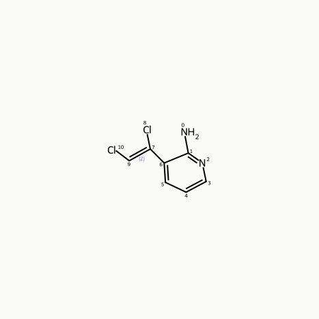 Nc1ncccc1/C(Cl)=C/Cl